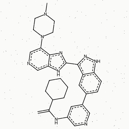 C=C(Nc1cncc(-c2ccc3[nH]nc(-c4nc5c(N6CCN(C)CC6)cncc5[nH]4)c3c2)c1)C1CCCCC1